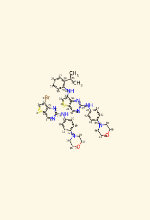 Brc1csc2cnc(Nc3ccc(N4CCOCC4)cc3)nc12.CC(C)c1ccccc1Nc1csc2cnc(Nc3ccc(N4CCOCC4)cc3)nc12